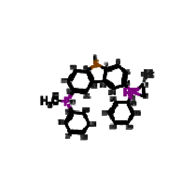 CC[C@@H]1C[PH]1(c1ccc2sc3ccc(P(C)C4=CC=CCC4)cc3c2c1)C1C=CC=CC1